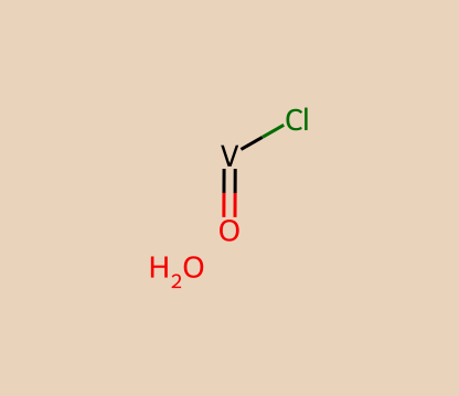 O.[O]=[V][Cl]